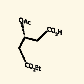 CCOC(=O)C[C@@H](CC(=O)O)OC(C)=O